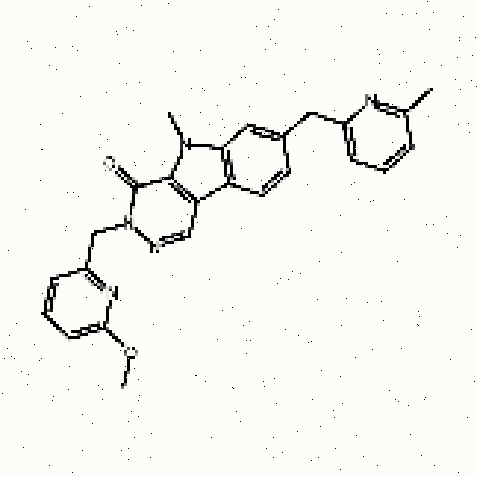 COc1cccc(Cn2ncc3c4ccc(Cc5cccc(C)n5)cc4n(C)c3c2=O)n1